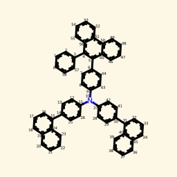 c1ccc(-c2c(-c3ccc(N(c4ccc(-c5cccc6ccccc56)cc4)c4ccc(-c5cccc6ccccc56)cc4)cc3)c3ccccc3c3ccccc23)cc1